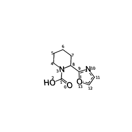 O=C(O)N1CCCCC1c1ncco1